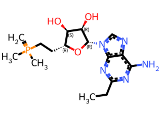 C=P(C)(C)CC[C@H]1O[C@@H](n2cnc3c(N)nc(CC)nc32)[C@H](O)[C@@H]1O